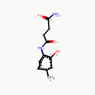 Cc1ccc(NC(=O)CCC(N)=O)c(O)c1